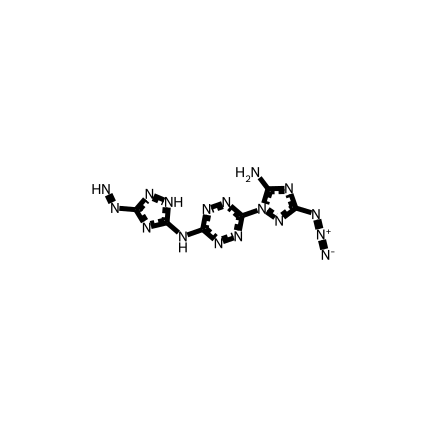 [N-]=[N+]=Nc1nc(N)n(-c2nnc(Nc3nc(N=N)n[nH]3)nn2)n1